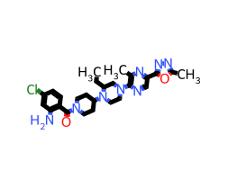 CCC1CN(c2ncc(-c3nnc(C)o3)nc2C)CCN1C1CCN(C(=O)c2ccc(Cl)cc2N)CC1